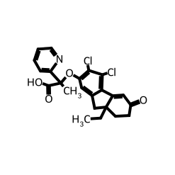 CCC12CCC(=O)C=C1c1c(cc(OC(C)(C(=O)O)c3ccccn3)c(Cl)c1Cl)C2